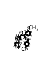 COc1ccc2c(c1)c(C(=O)c1cn(-c3ccncn3)nn1)cn2Cc1ccc(Cl)cc1